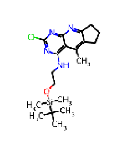 Cc1c2c(nc3nc(Cl)nc(NCCO[Si](C)(C)C(C)(C)C)c13)CCC2